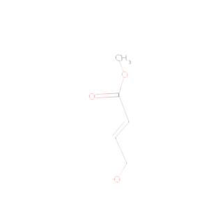 COC(=O)C=CC[O]